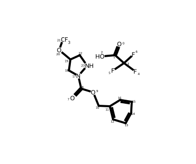 O=C(O)C(F)(F)F.O=C(OCc1ccccc1)N1CC(OC(F)(F)F)CN1